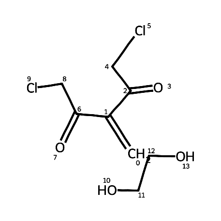 C=C(C(=O)CCl)C(=O)CCl.OCCO